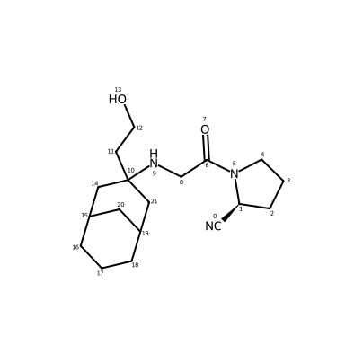 N#C[C@@H]1CCCN1C(=O)CNC1(CCO)CC2CCCC(C2)C1